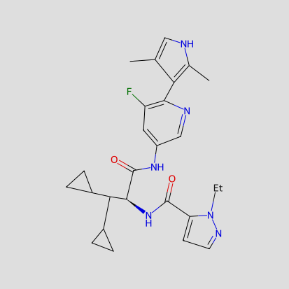 CCn1nccc1C(=O)N[C@H](C(=O)Nc1cnc(-c2c(C)c[nH]c2C)c(F)c1)C(C1CC1)C1CC1